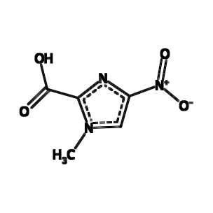 Cn1cc([N+](=O)[O-])nc1C(=O)O